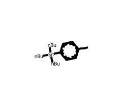 CCC[CH2][Sn]([CH2]CCC)([CH2]CCC)[c]1ccc(C)cc1